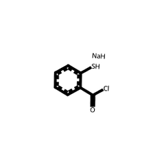 O=C(Cl)c1ccccc1S.[NaH]